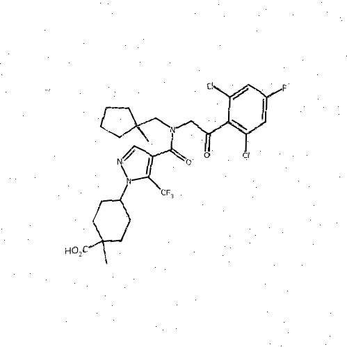 CC1(CN(CC(=O)c2c(Cl)cc(F)cc2Cl)C(=O)c2cnn(C3CCC(C)(C(=O)O)CC3)c2C(F)(F)F)CCCC1